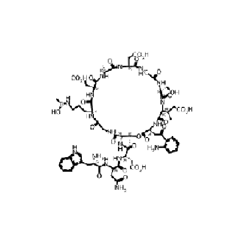 CB(O)NCCC[C@@H]1NC(=O)CNC(=O)[C@@H](NC(=O)[C@H](CC(=O)O)NC(=O)[C@@H](CC(N)=O)NC(=O)[C@@H](N)Cc2c[nH]c3ccccc23)[C@@H](C)OC(=O)[C@H](CC(=O)c2ccccc2N)NC(=O)[C@H]([C@H](C)CC(=O)O)NC(=O)[C@@H](CO)NC(=O)CNC(=O)[C@H](CC(=O)O)NC(=O)[C@@H](C)NC(=O)[C@H](CC(=O)O)NC1=O